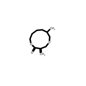 C=C1COCC(C)CCCCOC1=O